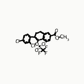 COC(=O)c1ccc2c(c1)CCC(c1ccc(Cl)cc1Cl)=C2OS(=O)(=O)C(F)(F)F